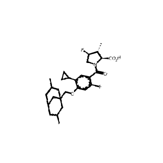 CC1CC2CC(C)CC(COc3cc(F)c(C(=O)N4C[C@@H](F)[C@H](C)[C@H]4C(=O)O)cc3C3CC3)(C1)C2